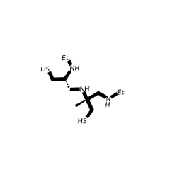 CCNC[C@](C)(CS)NC[C@H](CS)NCC